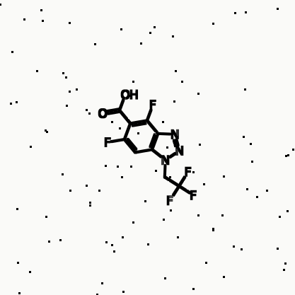 O=C(O)c1c(F)cc2c(nnn2CC(F)(F)F)c1F